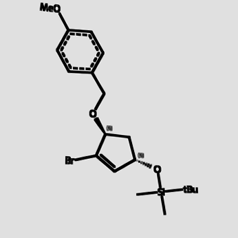 COc1ccc(CO[C@H]2C[C@H](O[Si](C)(C)C(C)(C)C)C=C2Br)cc1